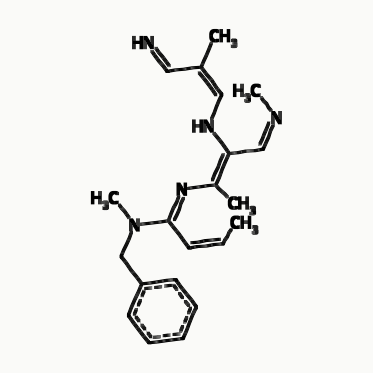 C\C=C/C(=N\C(C)=C(\C=N/C)N/C=C(/C)C=N)N(C)Cc1ccccc1